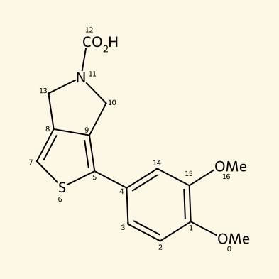 COc1ccc(-c2scc3c2CN(C(=O)O)C3)cc1OC